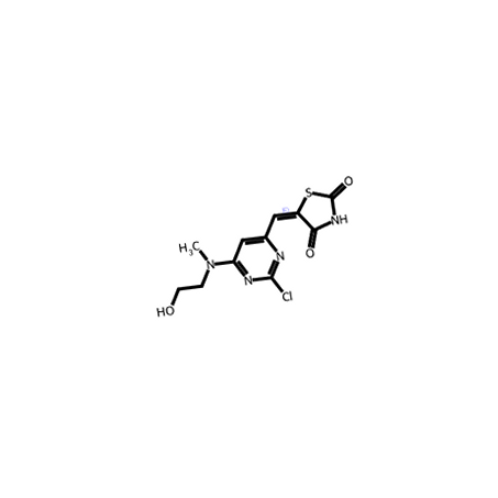 CN(CCO)c1cc(/C=C2/SC(=O)NC2=O)nc(Cl)n1